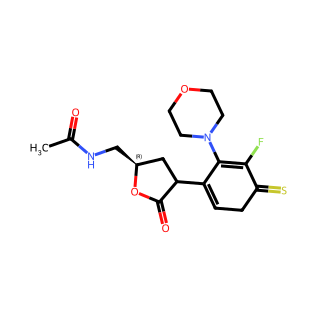 CC(=O)NC[C@H]1CC(C2=CCC(=S)C(F)=C2N2CCOCC2)C(=O)O1